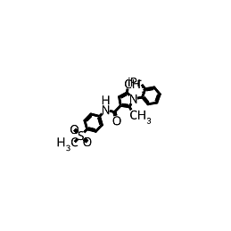 Cc1cc(C(=O)Nc2ccc(S(C)(=O)=O)cc2)c(C)n1-c1ccccc1C(C)C